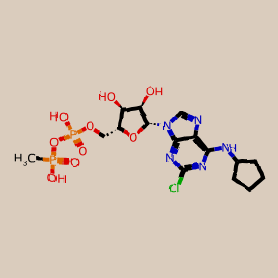 CP(=O)(O)OP(=O)(O)OC[C@H]1O[C@@H](n2cnc3c(NC4CCCC4)nc(Cl)nc32)[C@H](O)[C@@H]1O